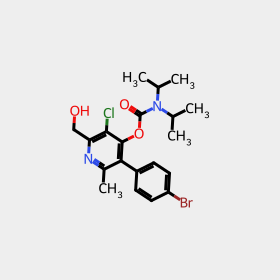 Cc1nc(CO)c(Cl)c(OC(=O)N(C(C)C)C(C)C)c1-c1ccc(Br)cc1